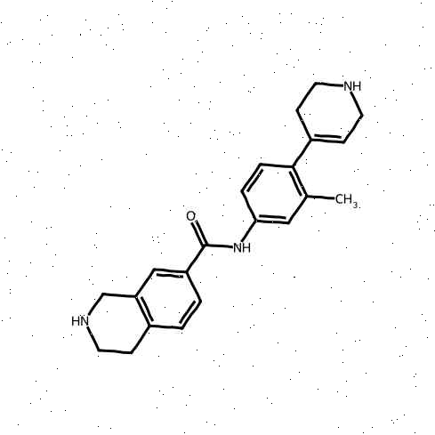 Cc1cc(NC(=O)c2ccc3c(c2)CNCC3)ccc1C1=CCNCC1